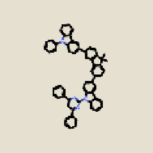 CC1(C)c2ccc(-c3ccc4c(c3)c3ccccc3n4-c3ccccc3)cc2-c2cc(-c3ccc4c(c3)c3ccccc3n4-c3nc(-c4ccccc4)cc(-c4ccccc4)n3)ccc21